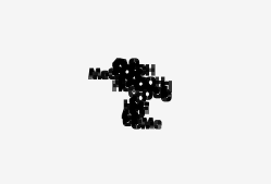 COc1cccc2c1C(=O)c1c(O)c3c(c(O)c1C2=O)C[C@@](O)(C(=O)COC(=O)Cl)C[C@@H]3OC1C[C@H]2[C@H](O[C@@H]3C(OC)OCCN32)[C@H](C)O1